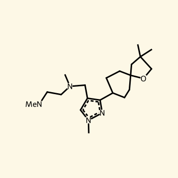 CNCCN(C)Cc1cn(C)nc1C1CCC2(CC1)CC(C)(C)CO2